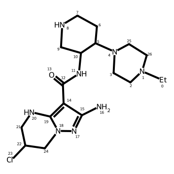 CCN1CCN(C2CCNCC2NC(=O)c2c(N)nn3c2NCC(Cl)C3)CC1